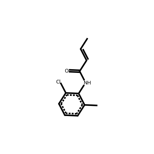 C/C=C/C(=O)Nc1c(C)cccc1Cl